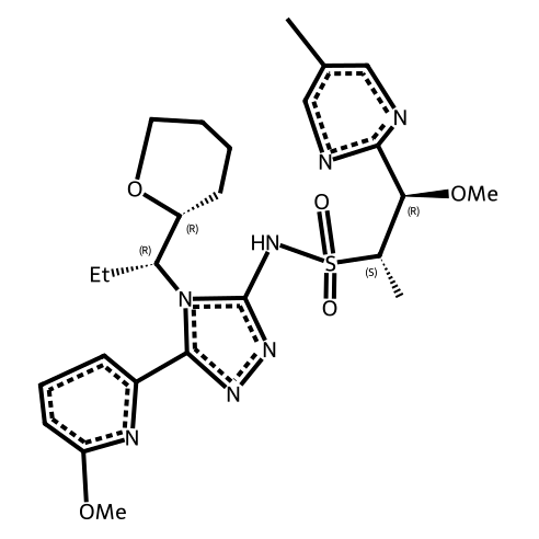 CC[C@H]([C@H]1CCCCO1)n1c(NS(=O)(=O)[C@@H](C)[C@H](OC)c2ncc(C)cn2)nnc1-c1cccc(OC)n1